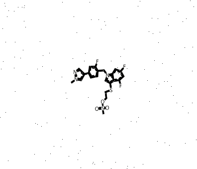 Cn1cc(-c2ccc(Cn3cc(SCCOS(C)(=O)=O)c4c(F)cc(F)cc43)c(F)c2)cn1